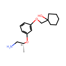 C[C@H](CN)Oc1cccc(OCC2(O)CCCCC2)c1